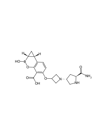 NC(=O)[C@@H]1C[C@@H](N2CC(Oc3ccc4c(c3C(=O)O)OB(O)[C@@H]3C[C@H]43)C2)CN1